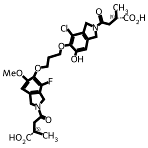 COc1cc2c(c(F)c1OCCCOc1c(O)cc3c(c1Cl)CN(C(=O)C[C@H](C)C(=O)O)C3)CN(C(=O)C[C@H](C)C(=O)O)C2